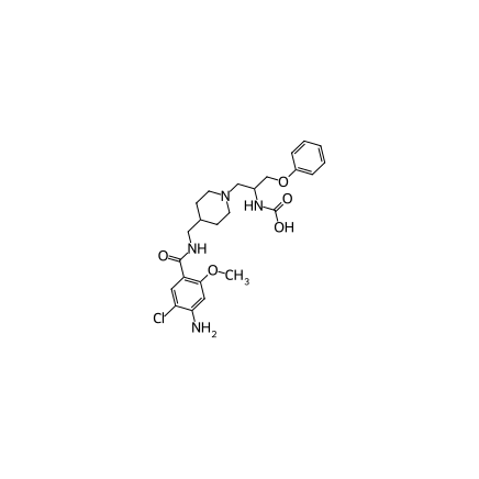 COc1cc(N)c(Cl)cc1C(=O)NCC1CCN(CC(COc2ccccc2)NC(=O)O)CC1